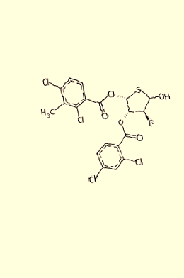 Cc1c(Cl)ccc(C(=O)O[C@@H]2SC(O)[C@@H](F)[C@@H]2OC(=O)c2ccc(Cl)cc2Cl)c1Cl